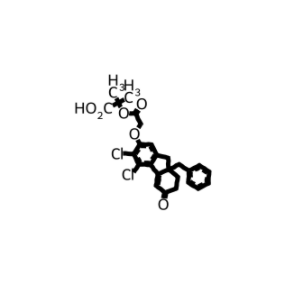 CC(C)(OC(=O)COc1cc2c(c(Cl)c1Cl)C1=CC(=O)CCC1(Cc1ccccc1)C2)C(=O)O